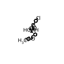 CN1CCN(C(=O)Cc2ccccc2[C@@H]2C[C@]2(NS(=O)(=O)c2ccc(-c3ccc(Cl)cc3)s2)C(=O)O)CC1